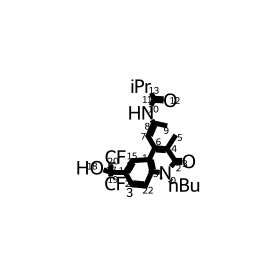 CCCCn1c(=O)c(C)c(/C=C(\C)NC(=O)C(C)C)c2cc(C(O)(C(F)(F)F)C(F)(F)F)ccc21